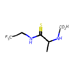 CC(NC(=O)O)C(=S)NCC(F)(F)F